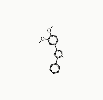 COc1ccc(-c2csc(-c3ccccc3)c2)cc1OC